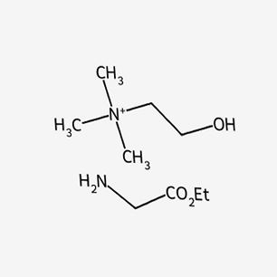 CCOC(=O)CN.C[N+](C)(C)CCO